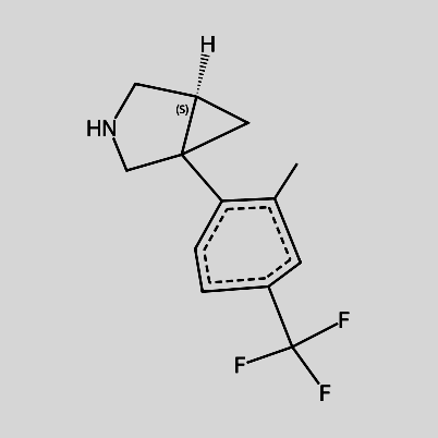 Cc1cc(C(F)(F)F)ccc1C12CNC[C@H]1C2